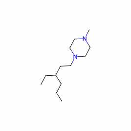 CCCC(CC)CCN1CCN(C)CC1